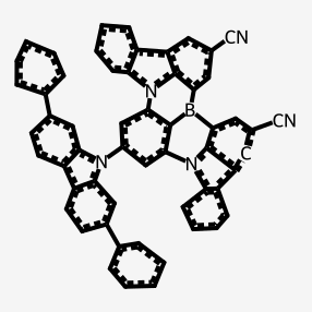 N#Cc1cc2c3c(c1)c1ccccc1n3-c1cc(-n3c4cc(-c5ccccc5)ccc4c4ccc(-c5ccccc5)cc43)cc3c1B2c1cc(C#N)cc2c4ccccc4n-3c12